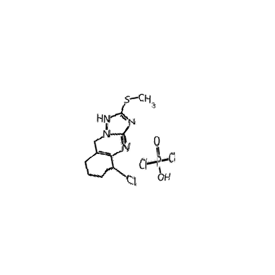 CSC1=NC2=NC3=C(CCCC3Cl)CN2N1.O=P(O)(Cl)Cl